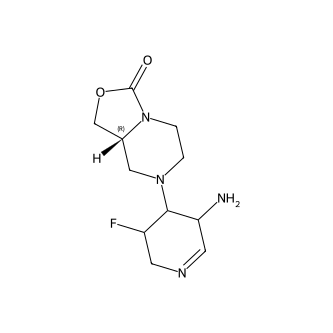 NC1C=NCC(F)C1N1CCN2C(=O)OC[C@H]2C1